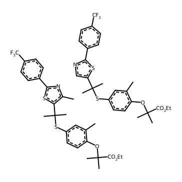 CCOC(=O)C(C)(C)Oc1ccc(SC(C)(C)c2cnc(-c3ccc(C(F)(F)F)cc3)s2)cc1C.CCOC(=O)C(C)(C)Oc1ccc(SC(C)(C)c2sc(-c3ccc(C(F)(F)F)cc3)nc2C)cc1C